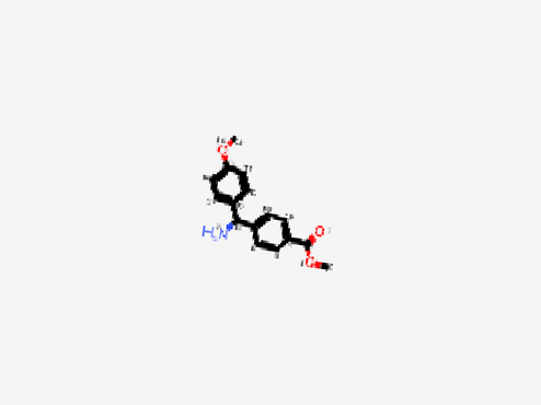 COC(=O)c1ccc(C(N)c2ccc(OC)cc2)cc1